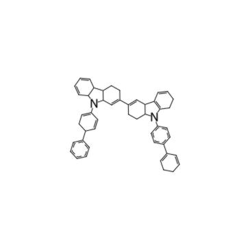 C1=CC2C3CCC(C4=CC5C6=C(CCC=C6)N(c6ccc(C7=CCCC=C7)cc6)C5CC4)=CC3N(C3=CCC(c4ccccc4)C=C3)C2C=C1